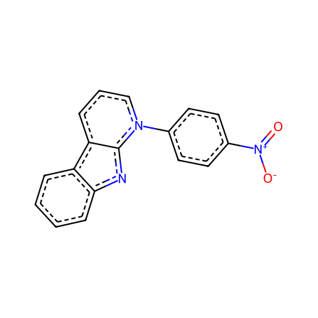 O=[N+]([O-])c1ccc(-n2cccc3c4ccccc4nc2-3)cc1